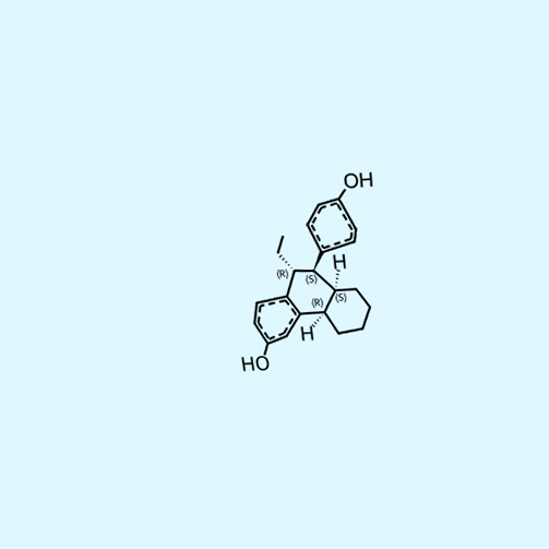 CC[C@H]1c2ccc(O)cc2[C@@H]2CCCC[C@@H]2[C@@H]1c1ccc(O)cc1